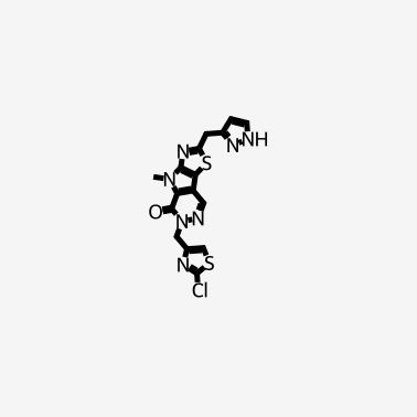 Cn1c2nc(Cc3cc[nH]n3)sc2c2cnn(Cc3csc(Cl)n3)c(=O)c21